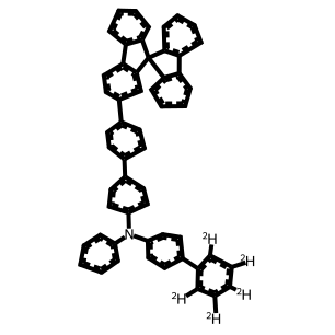 [2H]c1c([2H])c([2H])c(-c2ccc(N(c3ccccc3)c3ccc(-c4ccc(-c5ccc6c(c5)C5(c7ccccc7-c7ccccc75)c5ccccc5-6)cc4)cc3)cc2)c([2H])c1[2H]